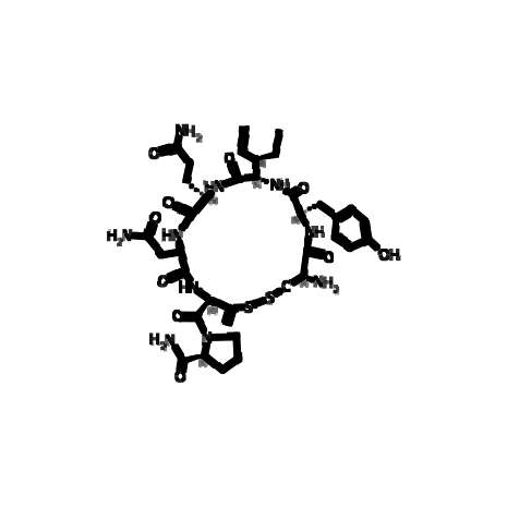 C=C[C@@H](CC)[C@@H]1NC(=O)[C@H](Cc2ccc(O)cc2)NC(=O)[C@@H](N)CSSC(=C)[C@@H](C(=O)N2CCC[C@H]2C(N)=O)NC(=O)C(CC(N)=O)NC(=O)[C@H](CCC(N)=O)NC1=O